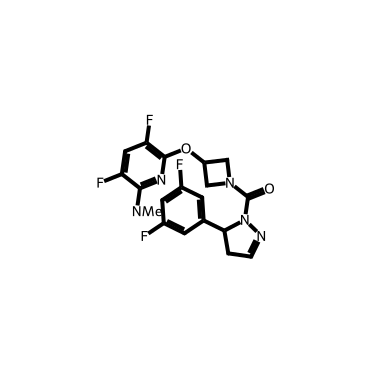 CNc1nc(OC2CN(C(=O)N3N=CCC3c3cc(F)cc(F)c3)C2)c(F)cc1F